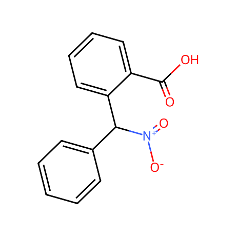 O=C(O)c1ccccc1C(c1ccccc1)[N+](=O)[O-]